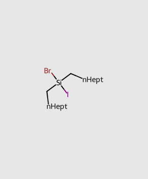 CCCCCCCC[Si](Br)(I)CCCCCCCC